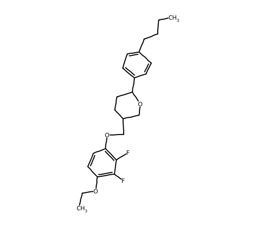 CCCCc1ccc(C2CCC(COc3ccc(OCC)c(F)c3F)CO2)cc1